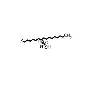 CCCCCCCCCCCCCCC[CH2][K].O=S(=O)(O)O